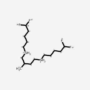 CC(CC[SiH2]CCCCC(F)F)C[SiH2]CCCCC(F)F